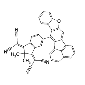 CC1(C)C(=C(C#N)C#N)c2ccc(-c3c4c(cc5oc6ccccc6c35)-c3cccc5cccc-4c35)cc2C1=C(C#N)C#N